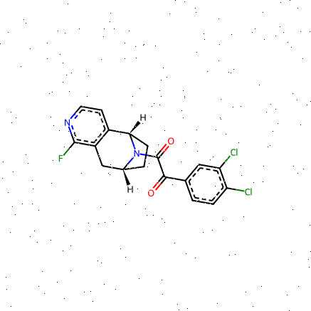 O=C(C(=O)N1[C@@H]2CC[C@H]1c1ccnc(F)c1C2)c1ccc(Cl)c(Cl)c1